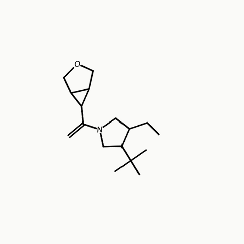 C=C(C1C2COCC21)N1CC(CC)C(C(C)(C)C)C1